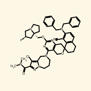 CN(C)C(=O)c1nn2c(c1Cl)CN(c1nc(OC[C@@]34CCCN3C[C@H](F)C4)nc3c1COC1(CCCc4ccc(N(Cc5ccccc5)Cc5ccccc5)c(C#N)c41)C3)CCC2